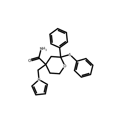 NC(=O)C1(Cn2cccc2)CCOC(Sc2ccccc2)(c2ccccc2)C1